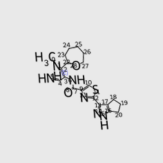 CN/C(=C(\C=N)NC(=O)c1csc(-c2n[nH]c3c2CCC3)n1)C1CCCCCO1